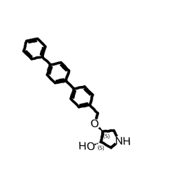 O[C@H]1CNC[C@@H]1OCc1ccc(-c2ccc(-c3ccccc3)cc2)cc1